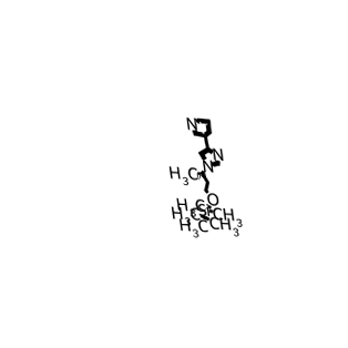 C[C@H](CCO[Si](C)(C)C(C)(C)C)n1cnc(-c2cccnc2)c1